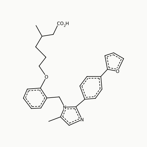 Cc1cnc(-c2ccc(-c3ccco3)cc2)n1Cc1ccccc1OCCCC(C)CC(=O)O